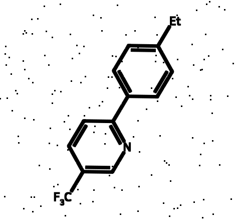 CCc1ccc(-c2ccc(C(F)(F)F)cn2)cc1